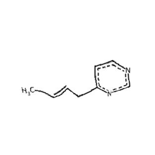 CC=CCc1ccncn1